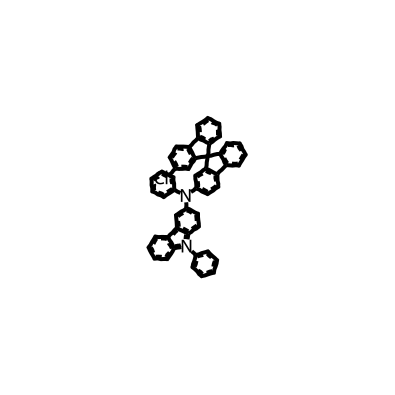 Clc1ccc2c(c1)C1(c3ccccc3-2)c2ccccc2-c2ccc(N(c3ccccc3)c3ccc4c(c3)c3ccccc3n4-c3ccccc3)cc21